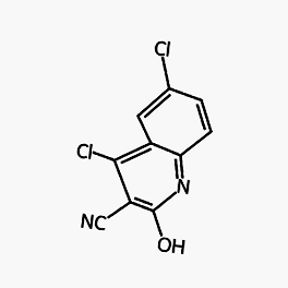 N#Cc1c(O)nc2ccc(Cl)cc2c1Cl